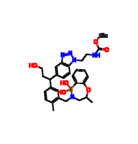 Cc1ccc(C(CCO)c2ccc3c(c2)nnn3CCNC(=O)OC(C)(C)C)cc1CN1CC(C)Oc2ccccc2S1(O)O